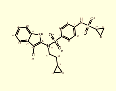 O=S(=O)(Nc1ccc(S(=O)(=O)N(CCC2CC2)c2sc3ccccc3c2Cl)cc1)C1CC1